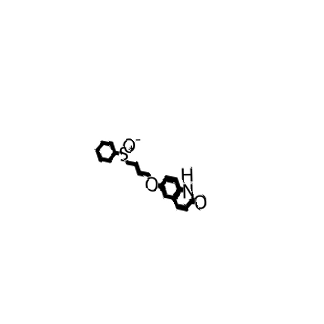 O=c1ccc2cc(OCCCC[S+]([O-])C3CCCCC3)ccc2[nH]1